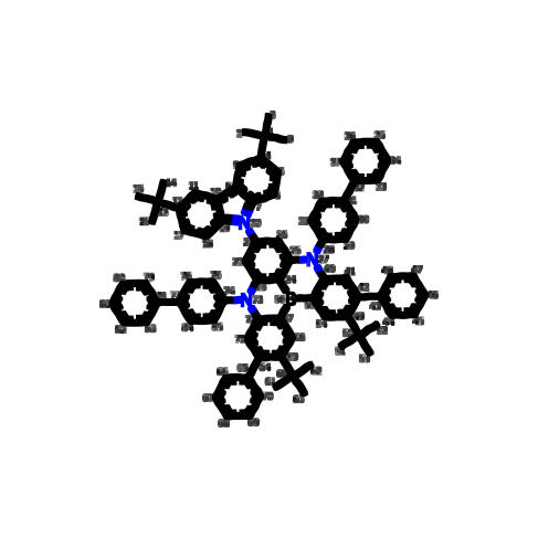 CC(C)(C)c1ccc2c(c1)c1cc(C(C)(C)C)ccc1n2-c1cc2c3c(c1)N(c1ccc(-c4ccccc4)cc1)c1cc(-c4ccccc4)c(C(C)(C)C)cc1B3c1cc(C(C)(C)C)c(-c3ccccc3)cc1N2c1ccc(-c2ccccc2)cc1